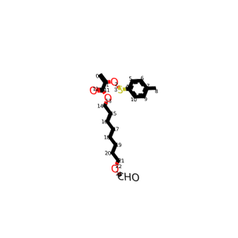 C=C(OSc1ccc(C)cc1)C(=O)OCCCCCCCCOC=O